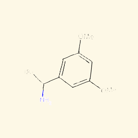 COc1cc(OC)cc(C(N)C(C)(C)C)c1